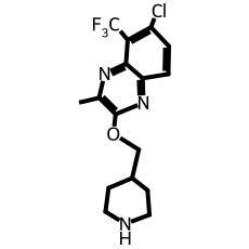 Cc1nc2c(C(F)(F)F)c(Cl)ccc2nc1OCC1CCNCC1